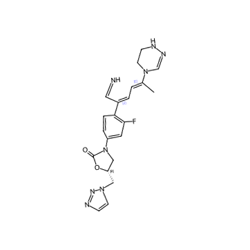 C/C(=C\C=C(/C=N)c1ccc(N2C[C@H](Cn3ccnn3)OC2=O)cc1F)N1C=NNCC1